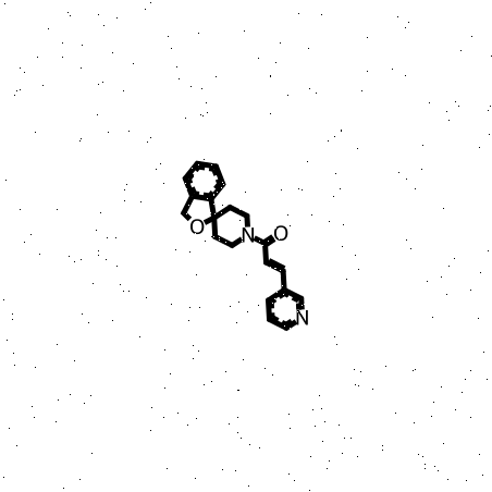 O=C(/C=C/c1cccnc1)N1CCC2(CC1)OCc1ccccc12